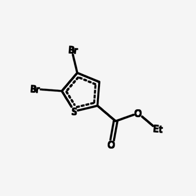 CCOC(=O)c1cc(Br)c(Br)s1